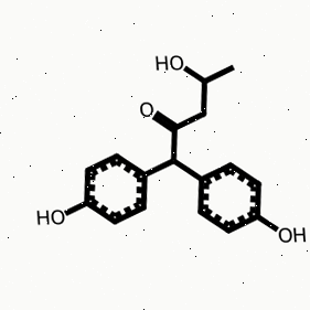 CC(O)CC(=O)C(c1ccc(O)cc1)c1ccc(O)cc1